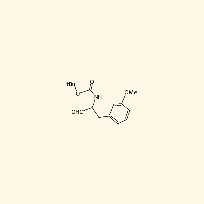 COc1cccc(CC(C=O)NC(=O)OC(C)(C)C)c1